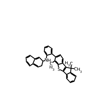 Cc1c(-c2ccccc2NC2C=c3ccccc3=CC2)ccc2c3c(sc12)-c1ccccc1C3(C)C